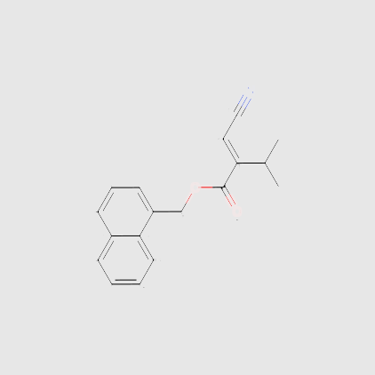 CC(C)C(=CC#N)C(=O)OCc1cccc2ccccc12